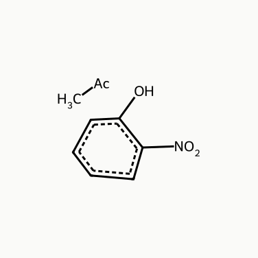 CC(C)=O.O=[N+]([O-])c1ccccc1O